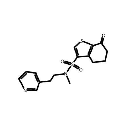 CN(CCc1cccnc1)S(=O)(=O)c1csc2c1CCCC2=O